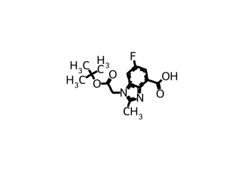 Cc1nc2c(C(=O)O)cc(F)cc2n1CC(=O)OC(C)(C)C